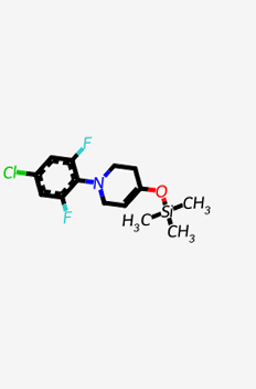 C[Si](C)(C)OC1=CCN(c2c(F)cc(Cl)cc2F)CC1